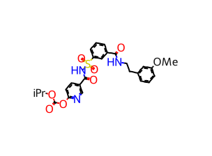 COc1cccc(CCNC(=O)c2cccc(S(=O)(=O)NC(=O)c3ccc(OC(=O)OC(C)C)nc3)c2)c1